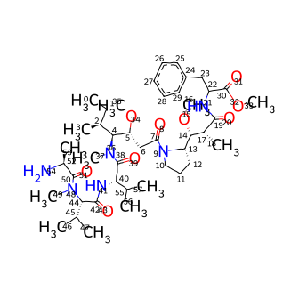 CC[C@H](C)[C@@H]([C@@H](CC(=O)N1CCC[C@H]1[C@H](OC)[C@@H](C)C(=O)NC(Cc1ccccc1)C(=O)OC)OC)N(C)C(=O)[C@@H](NC(=O)[C@H](C(C)C)N(C)C(=O)[C@H](C)N)C(C)C